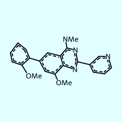 CNc1nc(-c2cccnc2)nc2c(OC)cc(-c3ccccc3OC)cc12